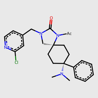 CC(=O)N1C(=O)N(Cc2ccnc(Cl)c2)C[C@]12CC[C@@](c1ccccc1)(N(C)C)CC2